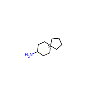 NC1CC[Si]2(CCCC2)CC1